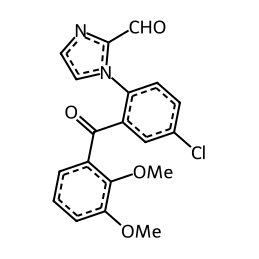 COc1cccc(C(=O)c2cc(Cl)ccc2-n2ccnc2C=O)c1OC